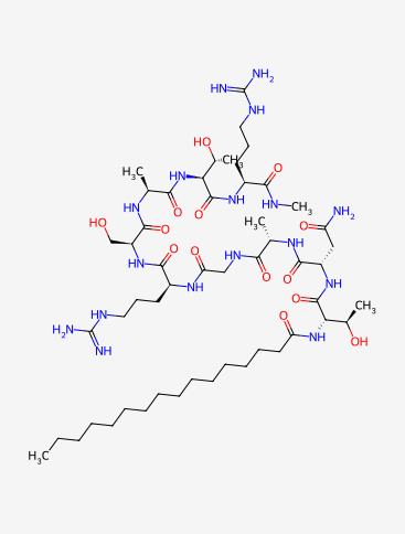 CCCCCCCCCCCCCCCC(=O)N[C@H](C(=O)N[C@@H](CC(N)=O)C(=O)N[C@@H](C)C(=O)NCC(=O)N[C@@H](CCCNC(=N)N)C(=O)N[C@@H](CO)C(=O)N[C@@H](C)C(=O)N[C@H](C(=O)N[C@@H](CCCNC(=N)N)C(=O)NC)[C@@H](C)O)[C@@H](C)O